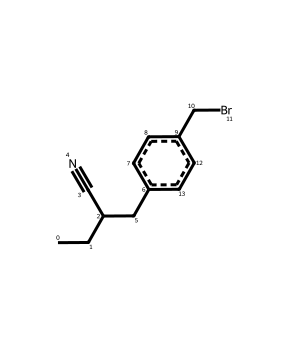 CCC(C#N)Cc1ccc(CBr)cc1